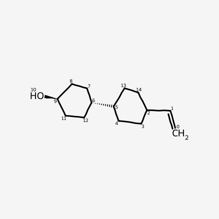 C=CC1CCC([C@H]2CC[C@H](O)CC2)CC1